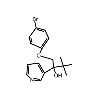 CC(C)(C)C(O)(COc1ccc(Br)cc1)c1cccnc1